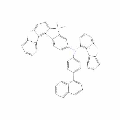 C[Si]1(C)c2cc(N(c3ccc(-c4cccc5ccccc45)cc3)c3cccc4sc5ccccc5c34)ccc2-c2c1ccc1sc3ccccc3c21